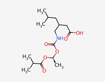 CC(C)CC(CNC(=O)O[C@@H](C)OC(=O)C(C)C)CC(=O)O